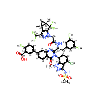 Cn1nc(NS(C)(=O)=O)c2c(Cl)ccc(-n3c([C@H](Cc4cc(F)cc(F)c4)NC(=O)Cn4nc(C(F)F)c5c4C(F)(F)[C@@H]4C[C@H]54)nc4cc(-c5ccc(F)c(C(=O)O)c5)ccc4c3=O)c21